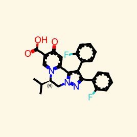 CC(C)[C@@H]1Cn2nc(-c3ccccc3F)c(-c3ccccc3F)c2-c2cc(=O)c(C(=O)O)cn21